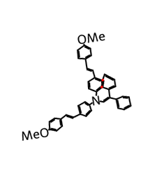 COc1ccc(C=Cc2ccc(N(C=C(c3ccccc3)c3ccccc3)c3ccc(C=Cc4ccc(OC)cc4)cc3)cc2)cc1